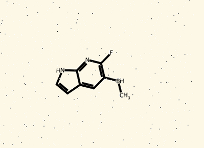 CBc1cc2cc[nH]c2nc1F